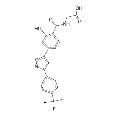 O=C(O)CNC(=O)c1ncc(-c2cc(-c3ccc(C(F)(F)F)cc3)no2)cc1O